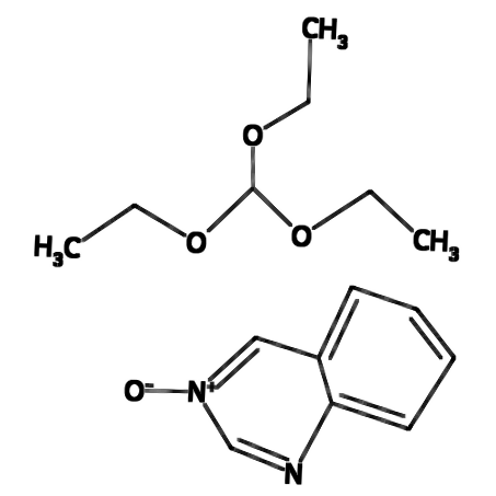 CCOC(OCC)OCC.[O-][n+]1cnc2ccccc2c1